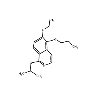 CCCSc1c(OCC)ccc2c(OC(C)C)nccc12